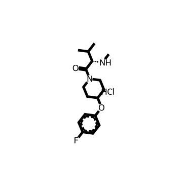 CN[C@H](C(=O)N1CCC(Oc2ccc(F)cc2)CC1)C(C)C.Cl